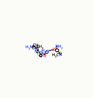 CCN(CCC(C)(C)CN)c1cnc(Sc2cccc(NC(=O)C3CCN(CCCCOC4=C(CN)C=CC(c5scnc5C)=CC4)CC3)c2Cl)cn1